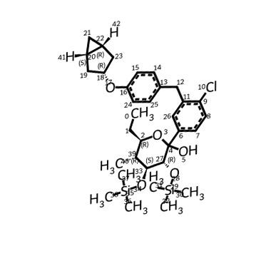 CC[C@H]1OC(O)(c2ccc(Cl)c(Cc3ccc(O[C@@H]4C[C@@H]5C[C@@H]5C4)cc3)c2)[C@H](O[Si](C)(C)C)[C@@H](O[Si](C)(C)C)[C@@H]1C